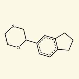 c1cc2c(cc1C1C[N]CCO1)CCC2